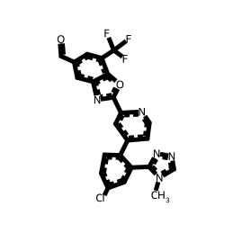 Cn1cnnc1-c1cc(Cl)ccc1-c1ccnc(-c2nc3cc(C=O)cc(C(F)(F)F)c3o2)c1